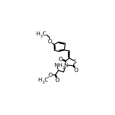 CCOc1ccc(C=C2SC(=O)N(C[C@H](N)C(=O)OC)C2=O)cc1